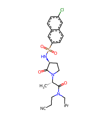 CC(C)CN(CCC#N)C(=O)[C@H](C)N1CC[C@H](NS(=O)(=O)c2ccc3cc(Cl)ccc3c2)C1=O